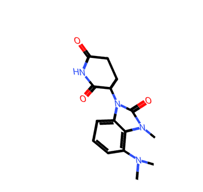 CN(C)c1cccc2c1n(C)c(=O)n2C1CCC(=O)NC1=O